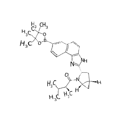 CC(C)[C@H](C)C(=O)N1[C@H](c2nc3c(ccc4cc(B5OC(C)(C)C(C)(C)O5)ccc43)[nH]2)C[C@@H]2C[C@@H]21